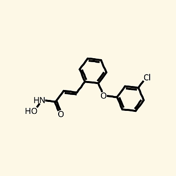 O=C(C=Cc1ccccc1Oc1cccc(Cl)c1)NO